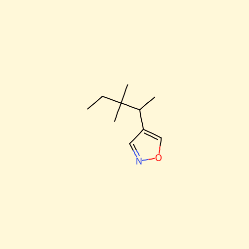 CCC(C)(C)C(C)c1cnoc1